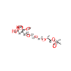 C=C(C)C(=O)OCCOCCOCCOCCC(CC(=O)O)C(=O)O